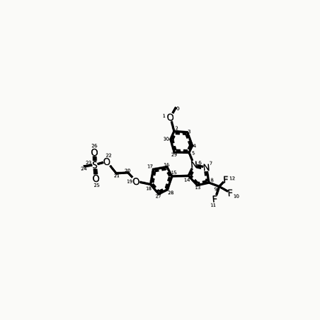 COc1ccc(-n2nc(C(F)(F)F)cc2-c2ccc(OCCOS(C)(=O)=O)cc2)cc1